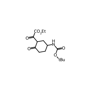 CCOC(=O)C(=O)C1CC(NC(=O)OC(C)(C)C)CCC1=O